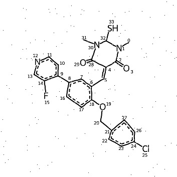 CN1C(=O)C(=Cc2cc(-c3ccncc3F)ccc2OCc2ccc(Cl)cc2)C(=O)N(C)C1S